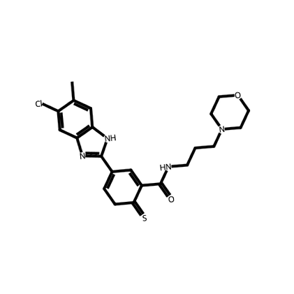 Cc1cc2[nH]c(C3=CCC(=S)C(C(=O)NCCCN4CCOCC4)=C3)nc2cc1Cl